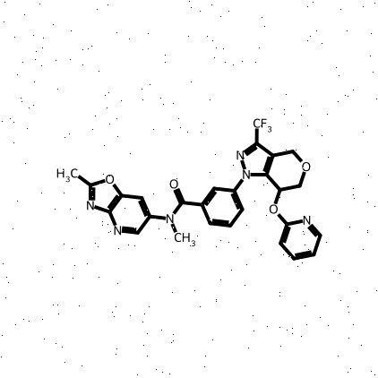 Cc1nc2ncc(N(C)C(=O)c3cccc(-n4nc(C(F)(F)F)c5c4C(Oc4ccccn4)COC5)c3)cc2o1